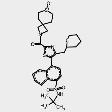 CC(C)(C)NS(=O)(=O)c1ccc(-c2sc(C(=O)N3CC4(CC[S+]([O-])CC4)C3)nc2CC2CCCCC2)c2ccccc12